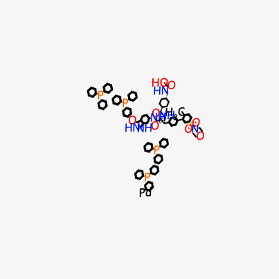 Cc1ccc(S(=O)(=O)N2CCOCC2)cc1-c1ccc(C[C@H](NC(=O)[C@H]2CC[C@H](CNC(=O)O)CC2)C(=O)Nc2ccc3c(=O)[nH][nH]c3c2)cc1.[Pd].c1ccc(P(c2ccccc2)c2ccccc2)cc1.c1ccc(P(c2ccccc2)c2ccccc2)cc1.c1ccc(P(c2ccccc2)c2ccccc2)cc1.c1ccc(P(c2ccccc2)c2ccccc2)cc1